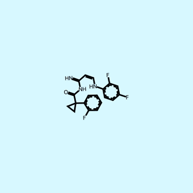 N=C(/C=C\Nc1ccc(F)cc1F)NC(=O)C1(c2ccccc2F)CC1